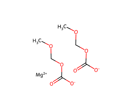 COCOC(=O)[O-].COCOC(=O)[O-].[Mg+2]